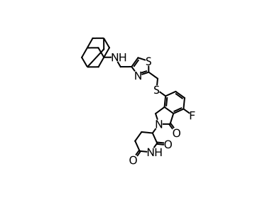 O=C1CCC(N2Cc3c(SCc4nc(CNC56CC7CC(CC(C7)C5)C6)cs4)ccc(F)c3C2=O)C(=O)N1